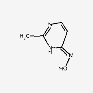 Cc1nccc(=NO)[nH]1